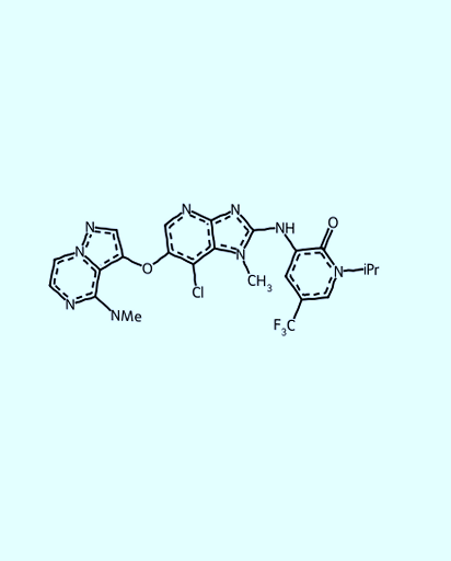 CNc1nccn2ncc(Oc3cnc4nc(Nc5cc(C(F)(F)F)cn(C(C)C)c5=O)n(C)c4c3Cl)c12